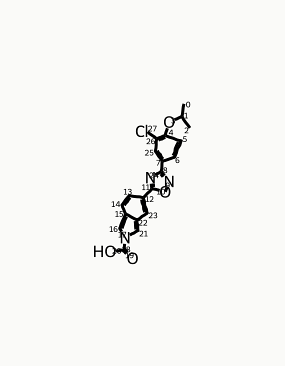 CC(C)Oc1ccc(-c2noc(-c3ccc4cn(C(=O)O)cc4c3)n2)cc1Cl